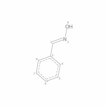 ON=Cc1cc[c]cc1